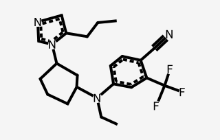 CCCc1cncn1C1CCCC(N(CC)c2ccc(C#N)c(C(F)(F)F)c2)C1